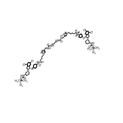 CC(C)(C)OC(=O)N[C@@H]1CCCN([C@H]2Cc3c(Cl)cc(Cl)cc3[C@@H]2Oc2ccc(S(=O)(=O)NCCCCn3cc(CNC(=O)NCCCCNC(=O)NCc4cn(CCCCNS(=O)(=O)c5ccc(O[C@H]6c7cc(Cl)cc(Cl)c7C[C@@H]6N6CCC[C@@H](NC(=O)OC(C)(C)C)C6)cc5)nn4)nn3)cc2)C1